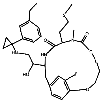 CCc1cccc(C2(NCC(O)C3Cc4ccc(c(F)c4)OCCCCC(=O)N(C)C(CCSC)C(=O)N3)CC2)c1